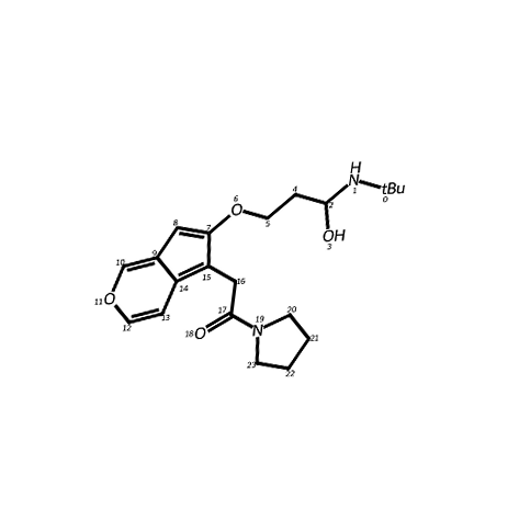 CC(C)(C)NC(O)CCOc1cc2coccc-2c1CC(=O)N1CCCC1